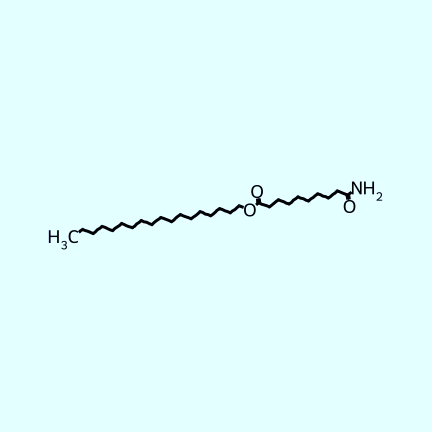 CCCCCCCCCCCCCCCCCCOC(=O)CCCCCCCCC(N)=O